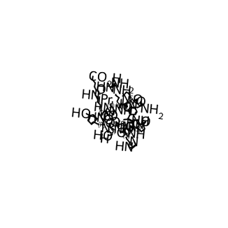 CC(C)C[C@H](NC(=O)[C@@H](CCCCNC(=O)CCCC(=O)O)NC(=O)[C@@H](Cc1ccc(O)cc1)NC(=O)[C@H](CO)NC(=O)[C@H](Cc1c[nH]c2ccccc12)NC(=O)[C@H](Cc1ncc[nH]1)NC(=O)[C@@H]1CCC(=O)N1)C(=O)N[C@@H](CCCNC(=N)N)C(=O)N1CCC[C@H]1C(=O)NCC(N)=O